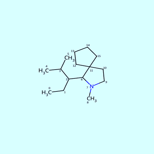 CCC(C(C)C)C1N(C)CCC12CCCC2